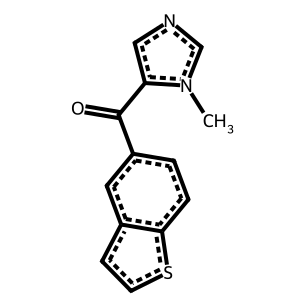 Cn1cncc1C(=O)c1ccc2sccc2c1